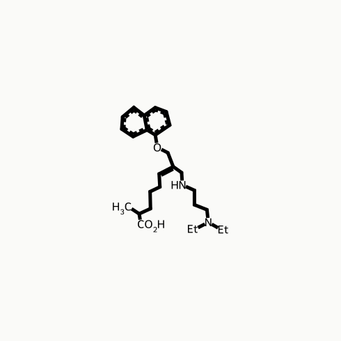 CCN(CC)CCCNCC(=CCCCC(C)C(=O)O)COc1cccc2ccccc12